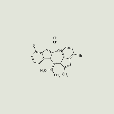 CC1=Cc2c(Br)cccc2[CH]1[Zr+2]([CH]1C(C)=Cc2c(Br)cccc21)=[Si](C)C.[Cl-].[Cl-]